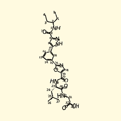 CCC(CC)NC(=O)c1cc(-c2cccc(-c3ncc(C(=O)N[C@@H](CC(C)C)C(=O)NCC(=O)O)o3)c2)[nH]n1